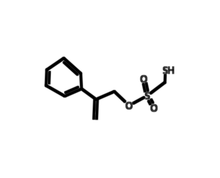 C=C(COS(=O)(=O)CS)c1ccccc1